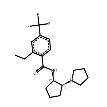 CCc1cc(C(F)(F)F)ccc1C(=O)N[C@@H]1CCC[C@@H]1N1CCCC1